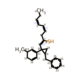 CC/C=C\C=C/C/C(S)=C/C1(C2=CC(C)CC=C2)CC1Cc1ccccc1